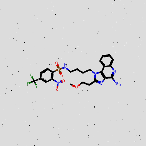 COCCc1nc2c(N)nc3ccccc3c2n1CCCCNS(=O)(=O)c1ccc(C(F)(F)F)cc1[N+](=O)[O-]